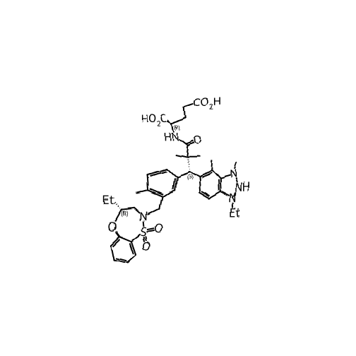 CC[C@@H]1CN(Cc2cc([C@@H](c3ccc4c(c3C)N(C)NN4CC)C(C)(C)C(=O)N[C@H](CCC(=O)O)C(=O)O)ccc2C)S(=O)(=O)c2ccccc2O1